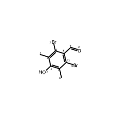 Cc1c(O)c(C)c(Br)c(C=O)c1Br